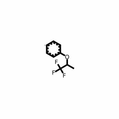 CC(Oc1cc[c]cc1)C(F)(F)F